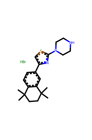 Br.CC1(C)CCC(C)(C)c2cc(-c3csc(N4CCNCC4)n3)ccc21